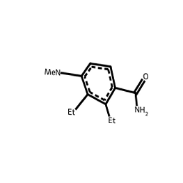 CCc1c(NC)ccc(C(N)=O)c1CC